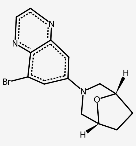 Brc1cc(N2C[C@H]3CC[C@@H](C2)O3)cc2nccnc12